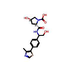 Cc1ncsc1-c1ccc(C(CO)NC(=O)[C@@H]2C[C@@H](O)CN2C(=O)O)cc1